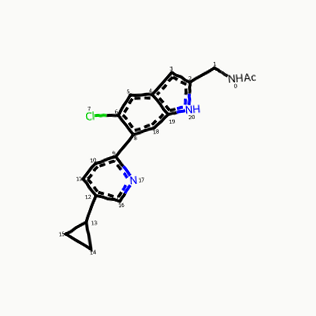 CC(=O)NCc1cc2cc(Cl)c(-c3ccc(C4CC4)cn3)cc2[nH]1